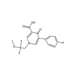 COC(F)(F)Cn1cc(C(=O)O)c(=O)c(-c2ccc(F)cc2)c1